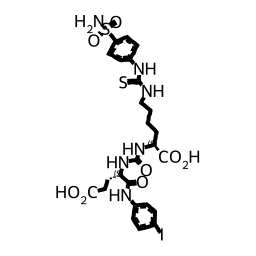 NS(=O)(=O)c1ccc(NC(=S)NCCCC[C@H](NC(=O)N[C@@H](CCC(=O)O)C(=O)Nc2ccc(I)cc2)C(=O)O)cc1